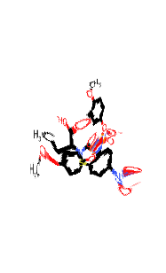 CCC(C(=O)O)N(CP(=O)(Oc1ccc(OC)cc1)Oc1ccc(OC)cc1)Sc1ccc([N+](=O)[O-])cc1[N+](=O)[O-]